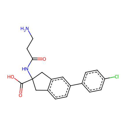 NCCC(=O)NC1(C(=O)O)Cc2ccc(-c3ccc(Cl)cc3)cc2C1